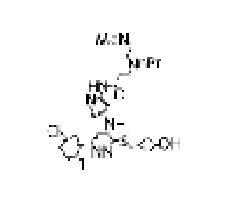 CCCN(CCNC)CCC(=O)Nc1cc(Nc2cc(-c3cc(Cl)ccc3F)nnc2SCC2CC(O)C2)ccn1